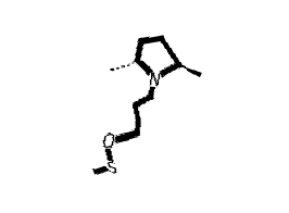 CSOCCCN1[C@H](C)CC[C@H]1C